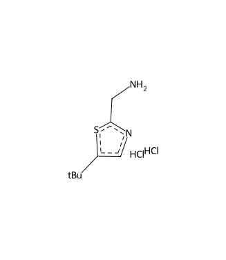 CC(C)(C)c1cnc(CN)s1.Cl.Cl